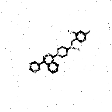 CN(Cc1ccc(F)cc1C(F)(F)F)C1CCN(c2nnc(-c3cncnc3)c3ccccc23)CC1